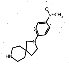 C[S+]([O-])c1ccc(N2CCC3(CCNCC3)C2)nc1